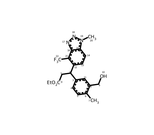 CCOC(=O)CC(c1ccc(C)c(CO)c1)c1ccc2c(nnn2C)c1C(F)(F)F